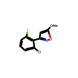 COc1[c]c(-c2c(F)cccc2Cl)no1